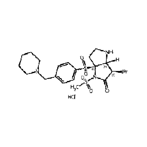 CC(C)[C@H]1C(=O)N(S(C)(=O)=O)[C@]2(S(=O)(=O)c3ccc(CN4CCCCC4)cc3)CCN[C@H]12.Cl